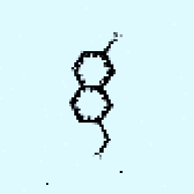 [O]Cc1ccc2ccc(Br)cc2c1